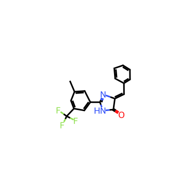 Cc1cc(C2=N/C(=C\c3ccccc3)C(=O)N2)cc(C(F)(F)F)c1